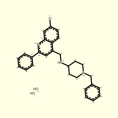 Cl.Cl.Clc1ccc2c(CNC3CCN(Cc4ccccc4)CC3)cc(-c3ccccc3)nc2c1